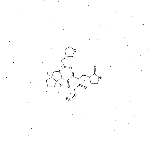 O=C1NCC[C@H]1C[C@H](NC(=O)[C@@H]1[C@H]2CCC[C@H]2CN1C(=O)O[C@H]1CCOC1)C(=O)COC(F)(F)F